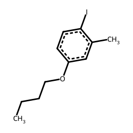 CCCCOc1ccc(I)c(C)c1